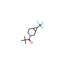 CC(C)(C)C(=O)N1CCC2C(C1)C2C(F)(F)F